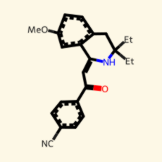 CCC1(CC)Cc2ccc(OC)cc2C(=CC(=O)c2ccc(C#N)cc2)N1